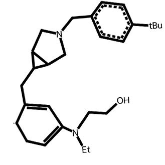 CCN(CCO)C1=CC[CH]C(CC2C3CN(Cc4ccc(C(C)(C)C)cc4)CC23)=C1